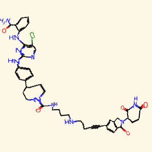 NC(=O)c1ccccc1Nc1nc(Nc2ccc(C3CCN(C(=O)NCCCCNCCC#Cc4ccc5c(c4)CN(C4CCC(=O)NC4=O)C5=O)CC3)cc2)ncc1Cl